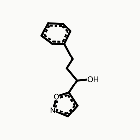 OC(CCc1ccccc1)c1ccno1